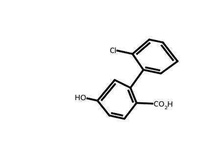 O=C(O)c1ccc(O)cc1-c1ccccc1Cl